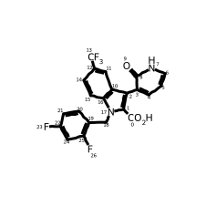 O=C(O)c1c(-c2ccc[nH]c2=O)c2cc(C(F)(F)F)ccc2n1Cc1ccc(F)cc1F